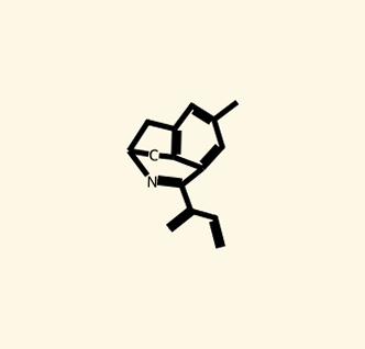 C=CC(=C)C1=NC2Cc3cc(C)cc1c3C2